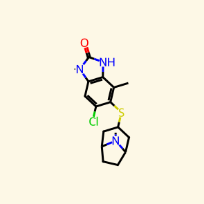 Cc1c2c(cc(Cl)c1SC1CC3CCC(C1)N3C)[N]C(=O)N2